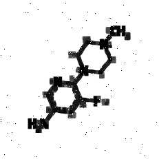 CN1CCN(c2ncc(N)cc2F)CC1